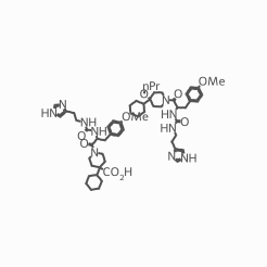 CCCOC1(C2CCCCC2)CCN(C(=O)C(Cc2ccc(OC)cc2)NC(=O)NCCc2c[nH]cn2)CC1.COc1ccc(CC(NC(=O)NCCc2c[nH]cn2)C(=O)N2CCC(C(=O)O)(C3CCCCC3)CC2)cc1